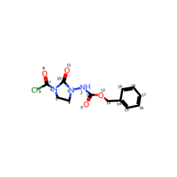 O=C(NN1CCN(C(=O)Cl)C1=O)OCc1ccccc1